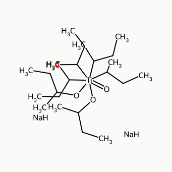 CCC(C)[O][Ti](=[O])([O]C(C)CC)([CH](C)CC)([CH](C)CC)([CH](C)CC)[CH](C)CC.[NaH].[NaH]